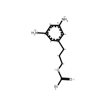 CCC(=O)OCCCc1cc(N)cc(N)c1